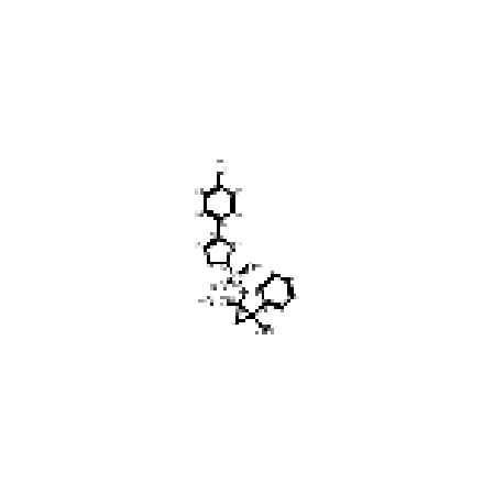 CC(C)C1(c2ccccc2)CC1(NS(=O)(=O)C1CC=C(c2ccc(Cl)cc2)S1)C(=O)O